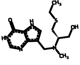 CCSC[C@H](CO)N(C)Cc1c[nH]c2c(=O)[nH]cnc12